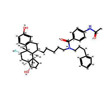 CC(=O)Nc1ccc(C(=O)N(CCCCC[C@@H]2Cc3cc(O)ccc3[C@@H]3[C@@H]2[C@@H]2CC[C@H](O)[C@@]2(C)C[C@@H]3F)CCCc2ccccc2)cc1